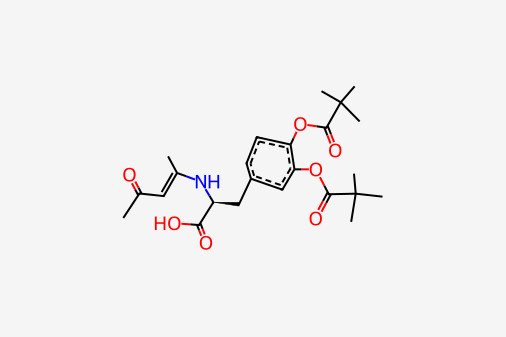 CC(=O)C=C(C)N[C@@H](Cc1ccc(OC(=O)C(C)(C)C)c(OC(=O)C(C)(C)C)c1)C(=O)O